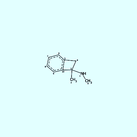 CNC1(C)Cc2ccccc21